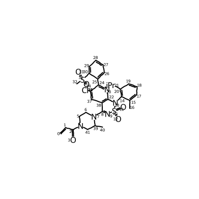 C=CC(=O)N1CCN(C2=NS(=O)(=O)N(c3c(C)cccc3C(C)C)c3nc(-c4ccccc4S(C)(=O)=O)c(Cl)cc32)C(C)C1